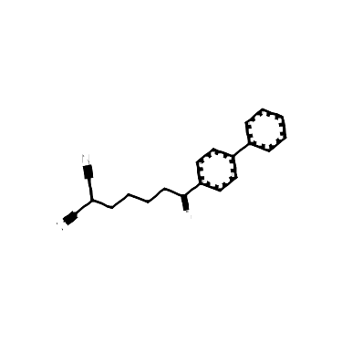 N#CC(C#N)CCCCC(=O)c1ccc(-c2ccccc2)cc1